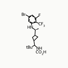 C[C@H](Nc1cc(Br)cc(F)c1C(F)(F)F)C1CC(C(NC(=O)O)C(C)(C)C)C1